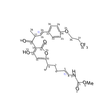 COC(=O)N/C=C/CCC(C)c1cc(O)c(C(=O)C(C)/C=C/c2ccc(OCCC(F)(F)F)cc2)c(=O)o1